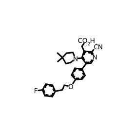 CC1(C)CCN(c2c(-c3ccc(OCCc4ccc(F)cc4)cc3)cnc(C#N)c2CC(=O)O)CC1